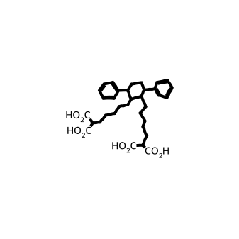 O=C(O)C(CCCCCC1C(c2ccccc2)CCC(c2ccccc2)C1CCCCCC(C(=O)O)C(=O)O)C(=O)O